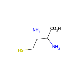 N.NC(CCS)C(=O)O